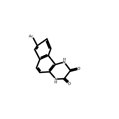 CC(=O)c1ccc2c(ccc3[nH]c(=O)c(=O)[nH]c32)c1